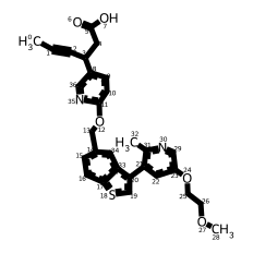 CC#CC(CC(=O)O)c1ccc(OCc2ccc3scc(-c4cc(OCCOC)cnc4C)c3c2)nc1